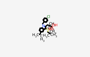 CC(C)c1ccc2c(c1)c([S+]([O-])CC(C)(C)C)c(CC(C)(C)C(=O)O)n2Cc1ccc(Cl)cc1